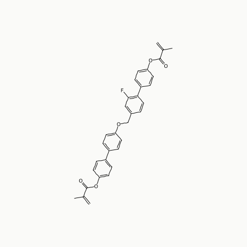 C=C(C)C(=O)Oc1ccc(-c2ccc(OCc3ccc(-c4ccc(OC(=O)C(=C)C)cc4)c(F)c3)cc2)cc1